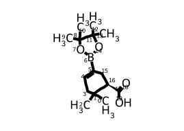 CC1(C)CC=C(B2OC(C)(C)C(C)(C)O2)C[C@H]1C(=O)O